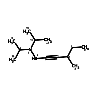 CCC(C)C#CBN(C(C)C)C(C)C